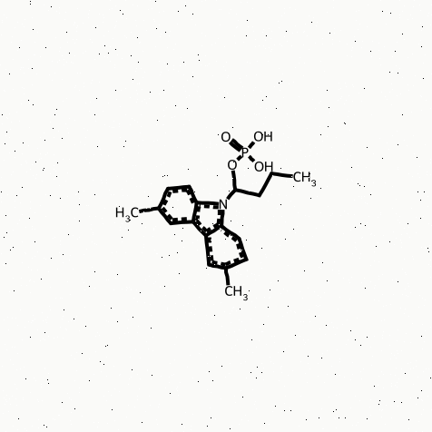 CCCC(OP(=O)(O)O)n1c2ccc(C)cc2c2cc(C)ccc21